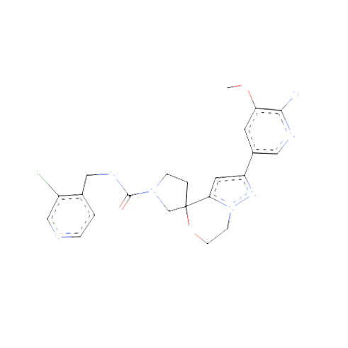 C[C@H](NC(=O)N1CCC2(C1)OCCn1nc(-c3cnc(N)c(OC(F)(F)F)c3)cc12)c1ccncc1Cl